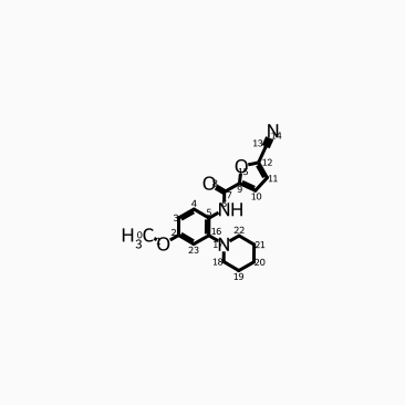 COc1ccc(NC(=O)c2ccc(C#N)o2)c(N2CCCCC2)c1